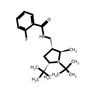 C[C@@H]1[C@@H](CNC(=O)c2ccccc2F)C[C@@H](C(C)(C)C)N1C(C)(C)C